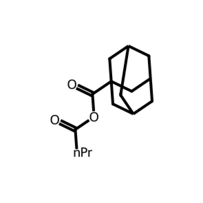 CCCC(=O)OC(=O)C12CC3CC(CC(C3)C1)C2